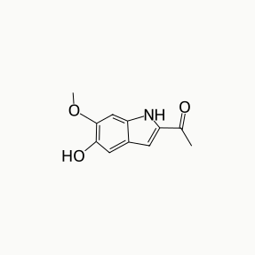 COc1cc2[nH]c(C(C)=O)cc2cc1O